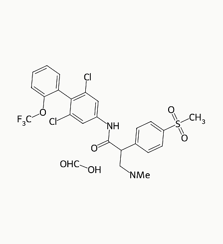 CNCC(C(=O)Nc1cc(Cl)c(-c2ccccc2OC(F)(F)F)c(Cl)c1)c1ccc(S(C)(=O)=O)cc1.O=CO